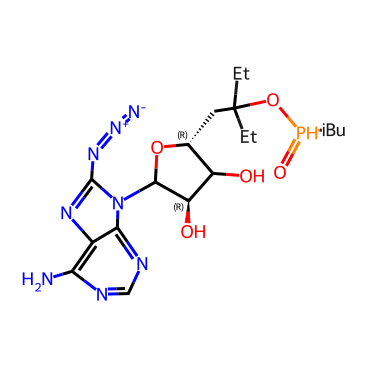 CCC(C)[PH](=O)OC(CC)(CC)C[C@H]1OC(n2c(N=[N+]=[N-])nc3c(N)ncnc32)[C@H](O)C1O